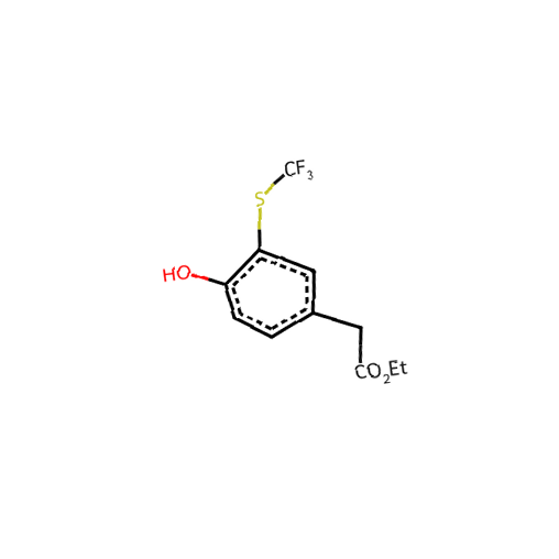 CCOC(=O)Cc1ccc(O)c(SC(F)(F)F)c1